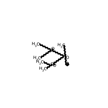 CCCCCCCCCCN(CCCCCCCCCC)C(=O)CCCCCCCCC(CCCCCCCCC(=O)OCC(CCCC)CCCCCC)N(CCCCCCCC)C(=O)CCCN1CCCC1